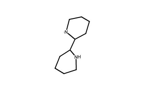 C1CCC(C2CCCCN2)[N]C1